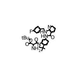 CC(C)(C)OC(=O)C(N)C(=O)N1CC(C)(C)c2ccc(NC(=O)c3cccnc3NCc3ccc(F)cc3)cc21